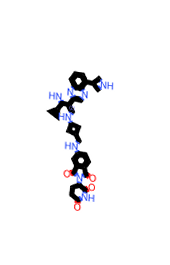 N=C(/C(=C\NC1CC(CNc2ccc3c(c2)C(=O)N(C2CCC(=O)NC2=O)C3=O)C1)c1cnc2c(C3CNC3)cccc2n1)C1CC1